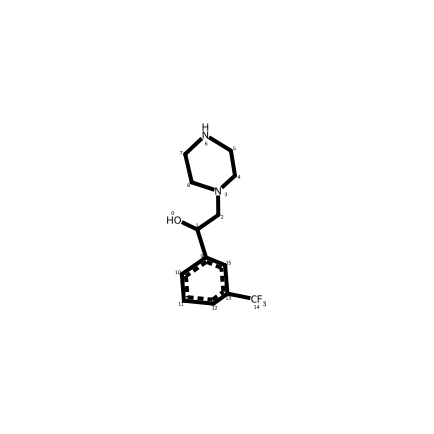 OC(CN1CCNCC1)c1cccc(C(F)(F)F)c1